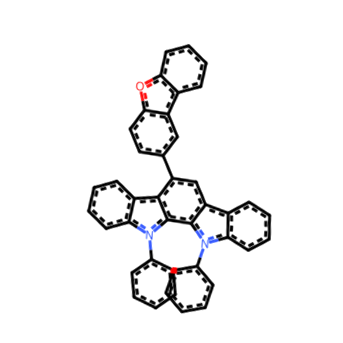 c1ccc(-n2c3ccccc3c3cc(-c4ccc5oc6ccccc6c5c4)c4c5ccccc5n(-c5ccccc5)c4c32)cc1